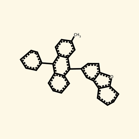 Cc1ccc2c(-c3ccccc3)c3ccccc3c(-c3ccc4oc5ccccc5c4c3)c2c1